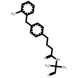 Cc1ccccc1Cc1ccc(CCCC(=O)NC(C)(C)C=O)cc1